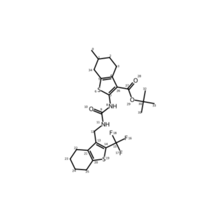 CC1CCc2c(sc(NC(=O)NCc3c(C(F)(F)F)sc4c3CCCC4)c2C(=O)OC(C)(C)C)C1